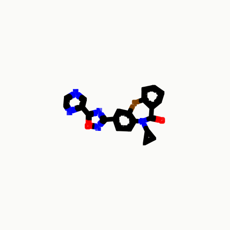 O=C1c2ccccc2Sc2cc(-c3noc(-c4cnccn4)n3)ccc2N1C1CC1